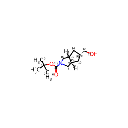 CC(C)(C)OC(=O)N1C[C@H]2C[C@@H](CO)C[C@H]2C1